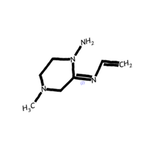 C=C/N=C1/CN(C)CCN1N